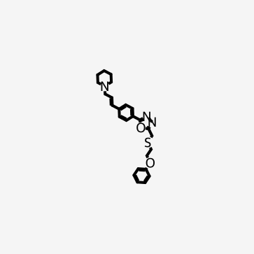 C(=Cc1ccc(-c2nnc(CSCCOc3ccccc3)o2)cc1)CN1CCCCC1